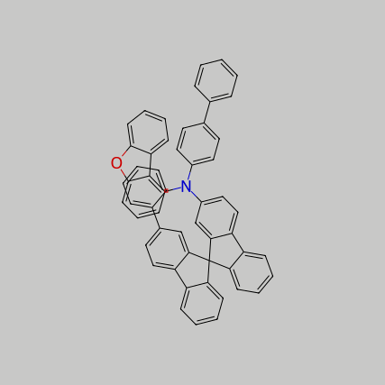 c1ccc(-c2ccc(N(c3ccc4c(c3)C3(c5ccccc5-c5ccc(-c6ccccc6)cc53)c3ccccc3-4)c3cccc4oc5ccccc5c34)cc2)cc1